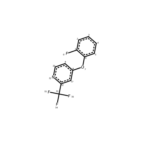 Fc1c[c]ccc1Oc1ccnc(C(F)(F)F)c1